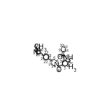 Cc1ccc(C(=O)N2CCC(c3ccc(-c4cnn(C)c4)cc3)CC2)cc1NC(=O)C1CCCC1